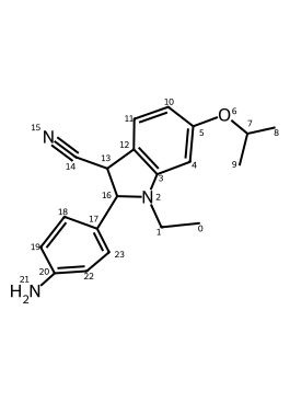 CCN1c2cc(OC(C)C)ccc2C(C#N)C1c1ccc(N)cc1